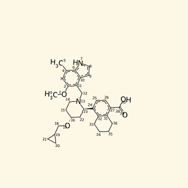 COc1cc(C)c2[nH]ccc2c1CN1CC[C@@H](OCC2CC2)C[C@@H]1c1ccc(C(=O)O)c2c1CCCC2